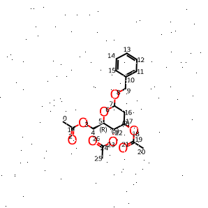 CC(=O)OC[C@H]1OC(OCc2ccccc2)C[C@@H](OC(C)=O)[C@@H]1OC(C)=O